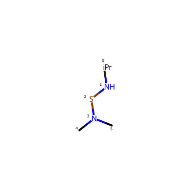 CC(C)NSN(C)C